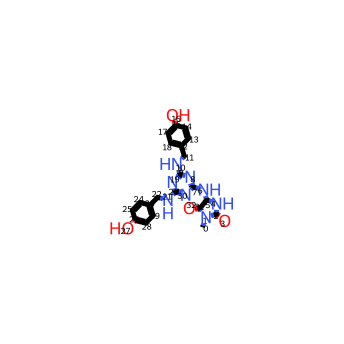 CN1C(=O)NC(Nc2nc(NCc3ccc(O)cc3)nc(NCc3ccc(O)cc3)n2)C1=O